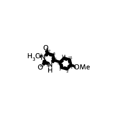 COc1ccc(-c2cc(=O)n(C)c(=O)[nH]2)cc1